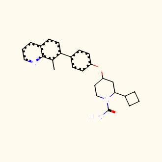 Cc1c(-c2ccc(OC3CCN(C(N)=O)C(C4CCC4)C3)cc2)ccc2cccnc12